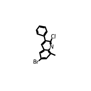 Cc1cc(Br)cc2cc(-c3ccccc3)c(Cl)nc12